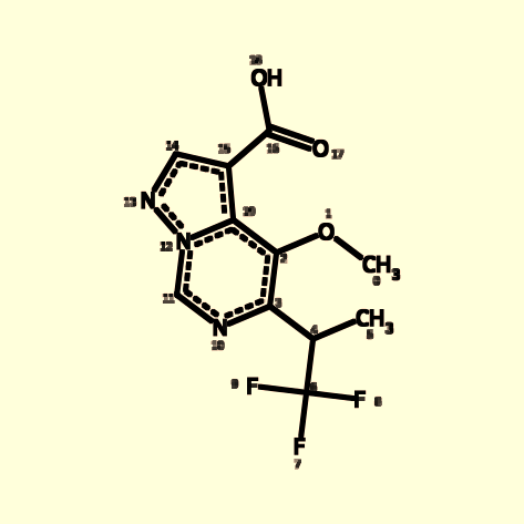 COc1c(C(C)C(F)(F)F)ncn2ncc(C(=O)O)c12